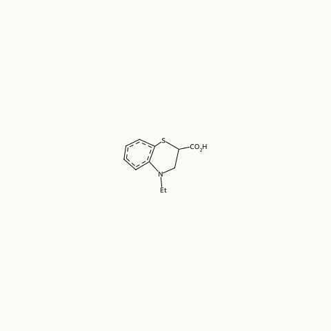 CCN1CC(C(=O)O)Sc2ccccc21